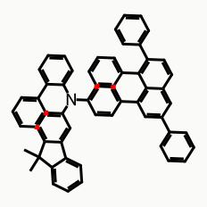 CC1(C)c2ccccc2-c2cc(N(c3ccc(-c4cc(-c5ccccc5)cc5ccc(-c6ccccc6)c(-c6ccccc6)c45)cc3)c3ccccc3-c3ccccc3)ccc21